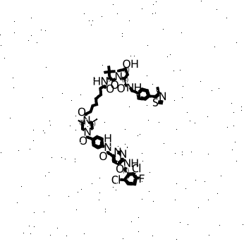 Cc1ncsc1-c1ccc(CNC(=O)[C@@H]2C[C@@H](O)CN2C(=O)[C@@H](NC(=O)CCCCCCC(=O)N2[C@H](C)CN(C(=O)c3ccc(NC(=O)c4cc5c(nn4)N[C@H](c4c(Cl)ccc(F)c4Cl)O5)cc3)C[C@@H]2C)C(C)(C)C)cc1